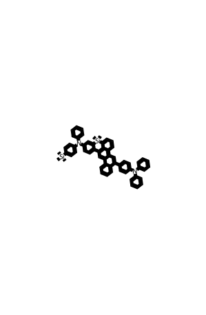 C[Si](C)(C)c1ccc(N(c2ccccc2)c2ccc3c(c2)[Si](C)(C)c2cccc4c2c-3cc2c3ccccc3c(-c3ccc(N(c5ccccc5)c5ccccc5)cc3)cc42)cc1